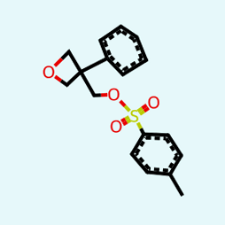 Cc1ccc(S(=O)(=O)OCC2(c3ccccc3)COC2)cc1